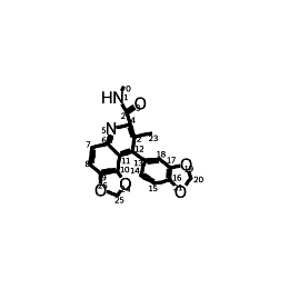 CNC(=O)c1nc2ccc3c(c2c(-c2ccc4c(c2)OCO4)c1C)OCO3